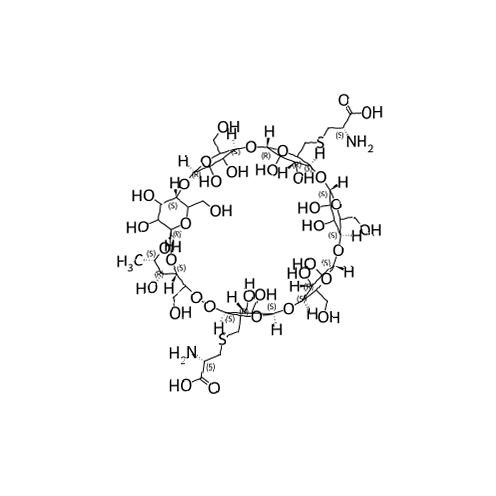 C[C@H](O)[C@@H](O)[C@@H]1O[C@H]2OC(CO)[C@@H](O[C@H]3OC(CO)[C@@H](O[C@@H]4OC(CSC[C@@H](N)C(=O)O)[C@@H](O[C@@H]5OC(CO)[C@@H](O[C@@H]6OC(CO)[C@@H](O[C@H]7OC(CSC[C@@H](N)C(=O)O)[C@@H](OOC1CO)[C@H](O)C7O)[C@H](O)C6O)C(O)C5O)[C@H](O)C4O)C(O)C3O)C(O)C2O